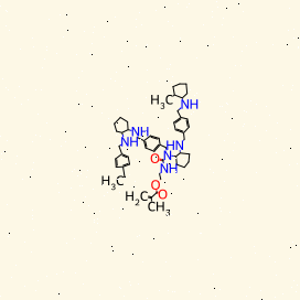 C=C(C)C(=O)OCCNC(=O)N(Cc1ccc(CNC2CCCCC2NCc2ccc(CC)cc2)cc1)C1CCCCC1NCc1ccc(CNC2CCCCC2C)cc1